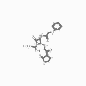 O=C(COc1ccccc1)N[C@@H]1C(=O)N(C(O)C(=O)O)[C@@H]1SCC(=O)C1CCOC1=O